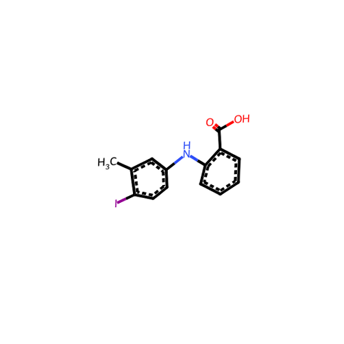 Cc1cc(Nc2ccccc2C(=O)O)ccc1I